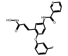 O=C(/C=C/c1cc(NC(=O)c2cccnc2)ccc1Oc1cccc(F)c1)NO